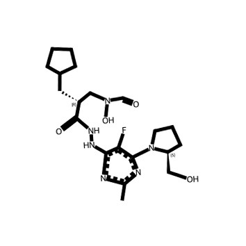 Cc1nc(NNC(=O)[C@H](CC2CCCC2)CN(O)C=O)c(F)c(N2CCC[C@H]2CO)n1